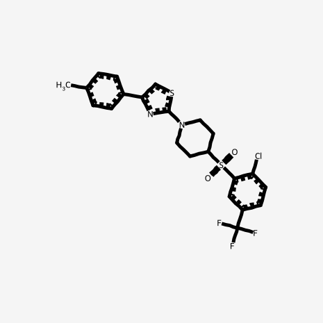 Cc1ccc(-c2csc(N3CCC(S(=O)(=O)c4cc(C(F)(F)F)ccc4Cl)CC3)n2)cc1